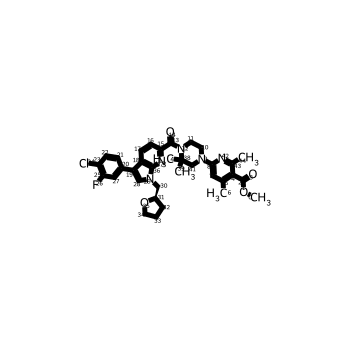 COC(=O)c1c(C)cc(N2CCN(C(=O)c3ccc4c(-c5ccc(Cl)c(F)c5)cn(C[C@H]5CCCO5)c4n3)C(C)(C)C2)nc1C